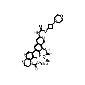 CCCCOC(=O)N1CCOc2ncc(-c3cc4cc(NC(=O)OC5CC(N6CCOCC6)C5)ncc4c(NC(=O)OC(C)(C)C)c3F)c(C)c21